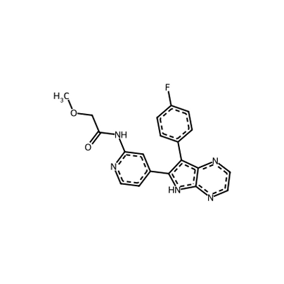 COCC(=O)Nc1cc(-c2[nH]c3nccnc3c2-c2ccc(F)cc2)ccn1